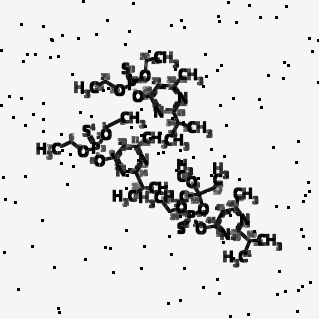 CCOP(=S)(OCC)Oc1cc(C)nc(C(C)C)n1.CCOP(=S)(OCC)Oc1cc(C)nc(C(C)C)n1.CCOP(=S)(Oc1cc(C)nc(C(C)C)n1)OC(C)(CC)OC